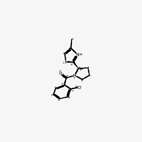 Cc1csc([C@H]2CCCN2C(=O)c2ccccc2Cl)n1